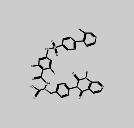 Cc1cnccc1-c1ccc(S(=O)(=O)Nc2cc(F)c(C(=O)N[C@@H](Cc3ccc(-n4c(=O)c5ccncc5n(C)c4=O)cc3)C(=O)O)c(F)c2)cc1